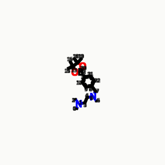 CN(C)CCN(C)Cc1ccc(B2OC(C)(C)C(C)(C)O2)cc1